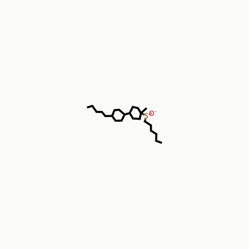 CCCCCC[S+]([O-])C1(C)CCC(C2CCC(CCCCC)CC2)CC1